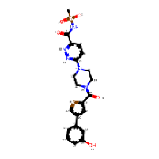 CS(=O)(=O)NC(=O)c1ccc(N2CCN(C(=O)c3cc(-c4cccc(O)c4)cs3)CC2)nn1